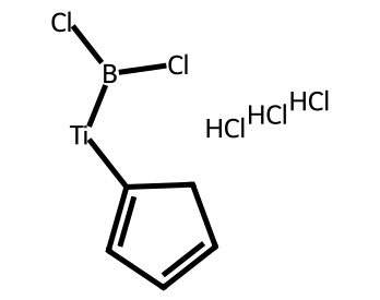 Cl.Cl.Cl.Cl[B](Cl)[Ti][C]1=CC=CC1